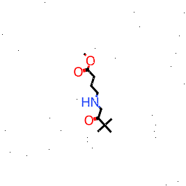 COC(=O)CCCNCC(=O)C(C)(C)C